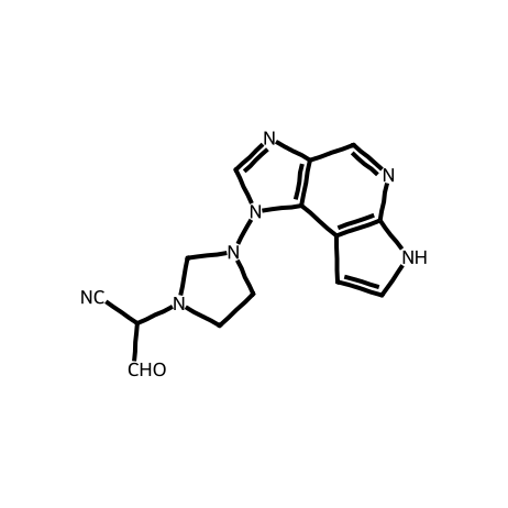 N#CC(C=O)N1CCN(n2cnc3cnc4[nH]ccc4c32)C1